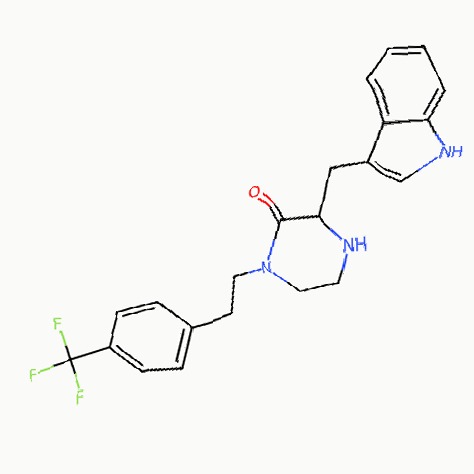 O=C1C(Cc2c[nH]c3ccccc23)NCCN1CCc1ccc(C(F)(F)F)cc1